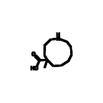 CC1(C(=O)O)CCCCCCNCCC1